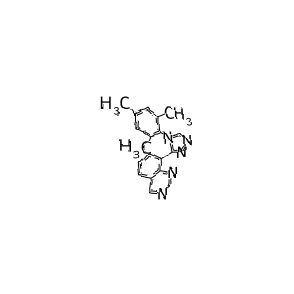 Cc1cc(C)c(-n2cnnc2-c2cccc3cncnc23)c(C)c1